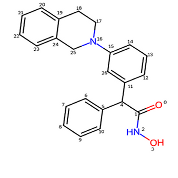 O=C(NO)C(c1ccccc1)c1cccc(N2CCc3ccccc3C2)c1